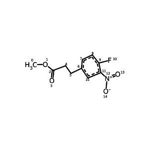 COC(=O)CCc1ccc(F)c([N+](=O)[O-])c1